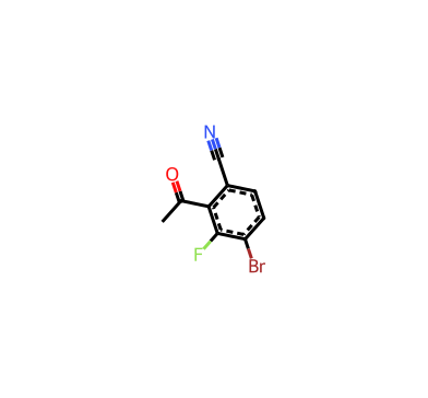 CC(=O)c1c(C#N)ccc(Br)c1F